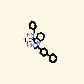 C[C@](NCc1ccccc1)(c1nc(-c2ccc(-c3ccccc3)cc2)c[nH]1)C1CCCCC1